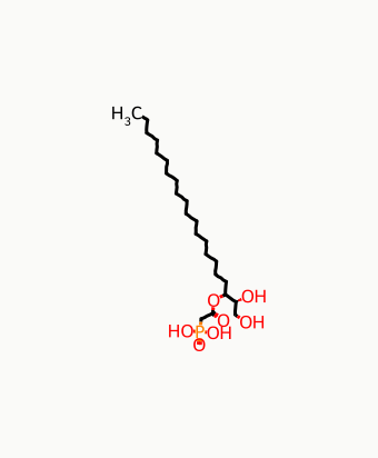 CCCCCCCCCCCCCCCCCCC(OC(=O)CP(=O)(O)O)[C@@H](O)CO